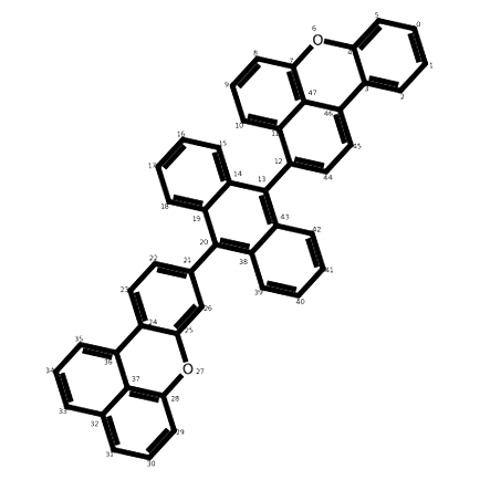 c1ccc2c(c1)Oc1cccc3c(-c4c5ccccc5c(-c5ccc6c(c5)Oc5cccc7cccc-6c57)c5ccccc45)ccc-2c13